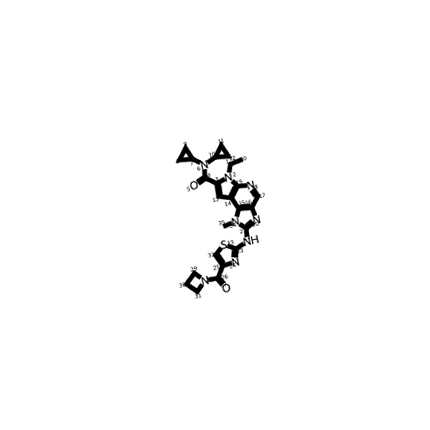 CCn1c(C(=O)N(C2CC2)C2CC2)cc2c3c(cnc21)nc(Nc1nc(C(=O)N2CCC2)cs1)n3C